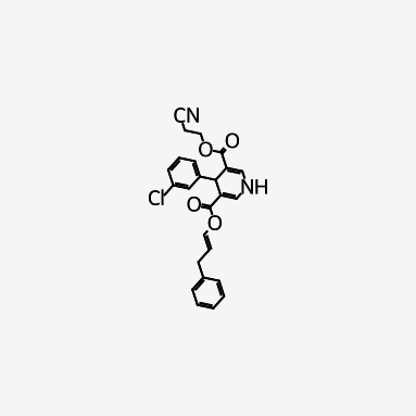 N#CCCOC(=O)C1=CNC=C(C(=O)OC=CCc2ccccc2)C1c1cccc(Cl)c1